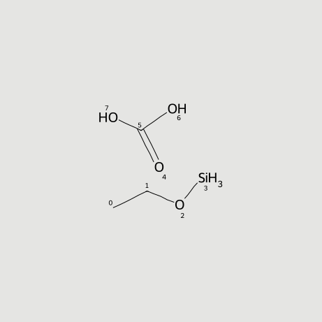 CCO[SiH3].O=C(O)O